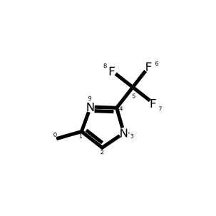 CC1=C[N]C(C(F)(F)F)=N1